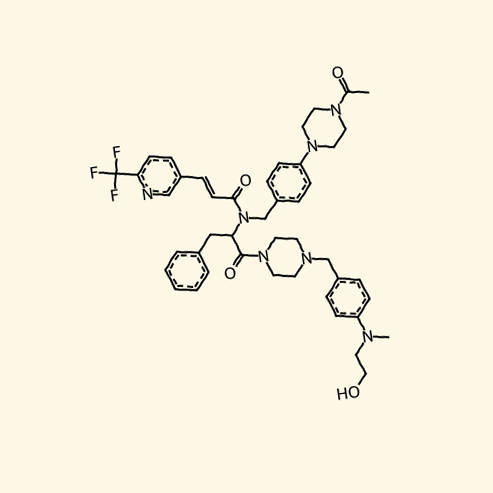 CC(=O)N1CCN(c2ccc(CN(C(=O)C=Cc3ccc(C(F)(F)F)nc3)C(Cc3ccccc3)C(=O)N3CCN(Cc4ccc(N(C)CCO)cc4)CC3)cc2)CC1